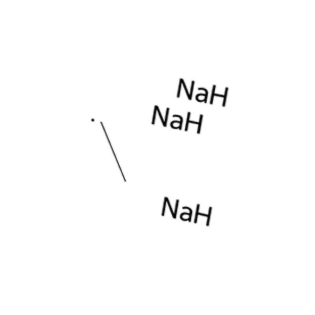 [CH2]C.[NaH].[NaH].[NaH]